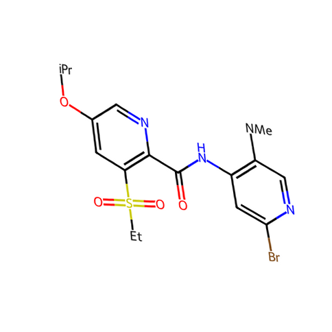 CCS(=O)(=O)c1cc(OC(C)C)cnc1C(=O)Nc1cc(Br)ncc1NC